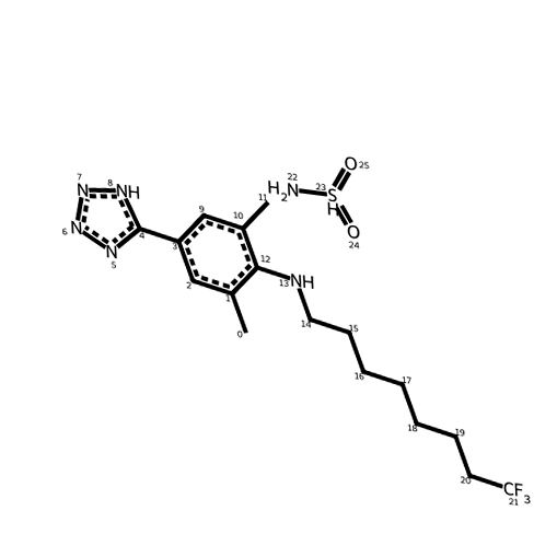 Cc1cc(-c2nnn[nH]2)cc(C)c1NCCCCCCCC(F)(F)F.N[SH](=O)=O